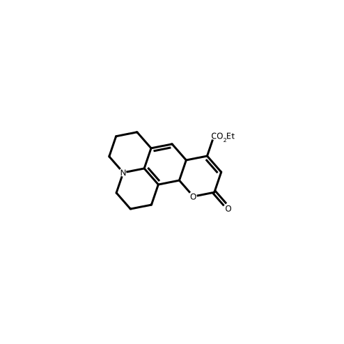 CCOC(=O)C1=CC(=O)OC2C3=C4C(=CC12)CCCN4CCC3